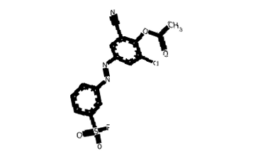 CC(=O)Oc1c(Cl)cc(/N=N/c2cccc(S(=O)(=O)F)c2)cc1C#N